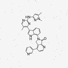 Cc1cnc(Nc2cc(C)n(C)n2)nc1-c1c[nH]c2c(N3Cc4c(-c5cccnc5)ccnc4C3=O)cccc12